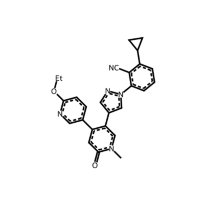 CCOc1ccc(-c2cc(=O)n(C)cc2-c2cnn(-c3cccc(C4CC4)c3C#N)c2)cn1